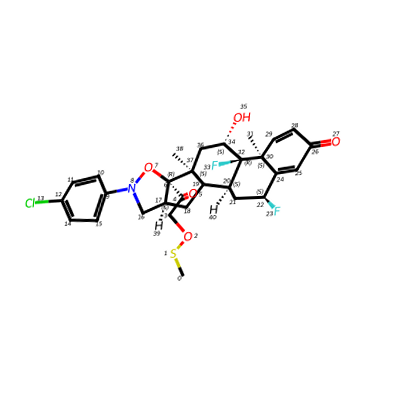 CSOCC(=O)[C@@]12ON(c3ccc(Cl)cc3)C[C@@H]1CC1[C@@H]3C[C@H](F)C4=CC(=O)C=C[C@]4(C)[C@@]3(F)[C@@H](O)C[C@@]12C